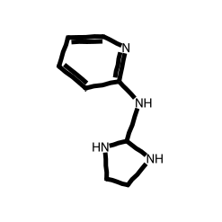 [c]1cccnc1NC1NCCN1